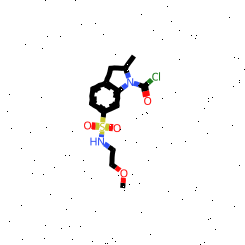 COCCNS(=O)(=O)c1ccc2c(c1)N(C(=O)Cl)C(C)C2